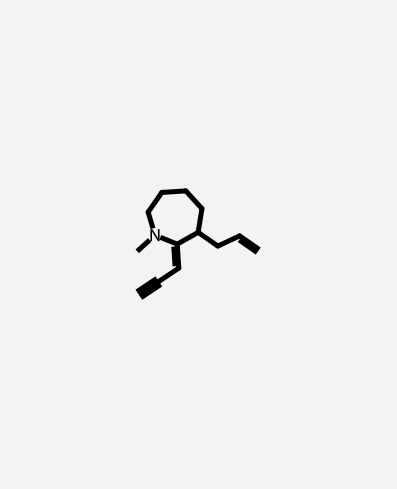 C#C/C=C1/C(CC=C)CCCCN1C